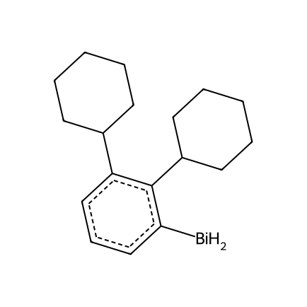 [BiH2][c]1cccc(C2CCCCC2)c1C1CCCCC1